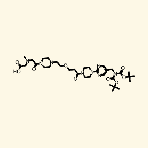 CN(CC(=O)O)CC(=O)N1CCN(CCOCCC(=O)N2CCN(c3ncc(CN(C(=O)OC(C)(C)C)C(=O)OC(C)(C)C)cn3)CC2)CC1